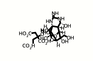 N=C1N[C@H](O)[C@H]2[C@H]3O[C@]4(O)O[C@@H](C(O)[C@@]2(N1)[C@@H]4O)[C@]3(O)CO.O=C(O)CC(O)(CC(=O)O)C(=O)O